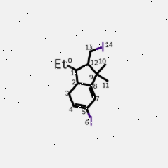 CCC1C2CC=C(I)C=C2C(C)(C)C1CI